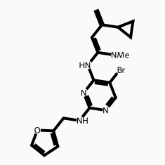 C=C(/C=C(\NC)Nc1nc(NCc2ccco2)ncc1Br)C1CC1